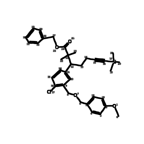 COc1ccc(COCc2cc(C(CCC#C[Si](C)(C)C)C(C)(C)C(=O)OCc3ccccc3)ccc2Cl)cc1